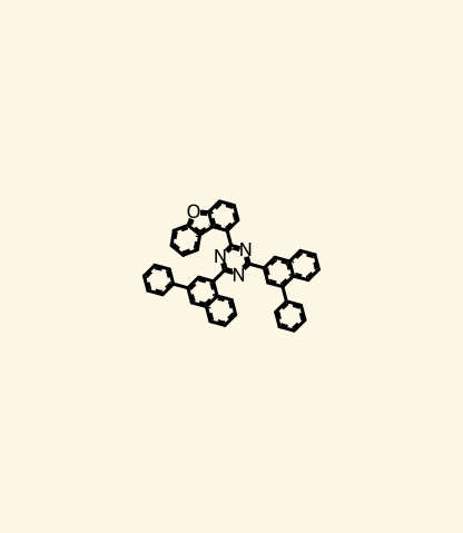 c1ccc(-c2cc(-c3nc(-c4cc(-c5ccccc5)c5ccccc5c4)nc(-c4cccc5oc6ccccc6c45)n3)c3ccccc3c2)cc1